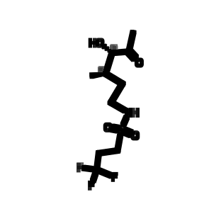 CC(=O)[C@@H](O)[C@H](C)CCNS(=O)(=O)CCC(F)(F)F